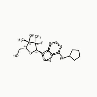 C[C@]1(O)[C@@H](CO)O[C@H](n2cnc3c(NC4CCCC4)ncnc32)[C@]1(C)F